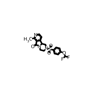 Cc1nccc2c1C(=O)N1CCN(S(=O)(=O)c3ccc(OC(F)F)cc3)CC21